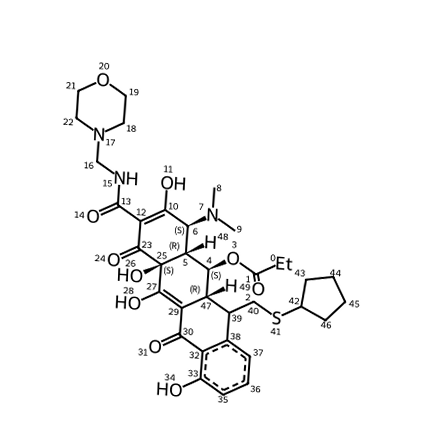 CCC(=O)O[C@@H]1[C@H]2[C@H](N(C)C)C(O)=C(C(=O)NCN3CCOCC3)C(=O)[C@@]2(O)C(O)=C2C(=O)c3c(O)cccc3C(CSC3CCCC3)[C@H]21